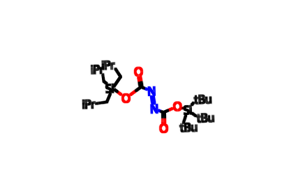 CC(C)C[Si](CC(C)C)(CC(C)C)OC(=O)/N=N/C(=O)O[Si](C(C)(C)C)(C(C)(C)C)C(C)(C)C